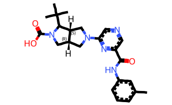 Cc1cccc(NC(=O)c2cncc(N3C[C@@H]4CN(C(=O)O)C(C(C)(C)C)[C@@H]4C3)n2)c1